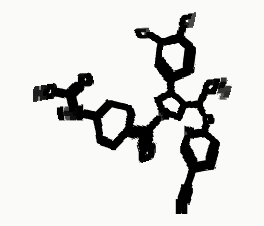 CC(Oc1ccc(C#N)cn1)C1CN(C(=O)C2CCC(NC(=O)O)CC2)CC1c1ccc(Cl)c(Cl)c1